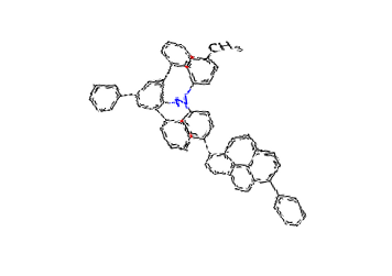 Cc1ccc(N(c2ccc(-c3ccc4ccc5c(-c6ccccc6)ccc6ccc3c4c65)cc2)c2c(-c3ccccc3)cc(-c3ccccc3)cc2-c2ccccc2)cc1